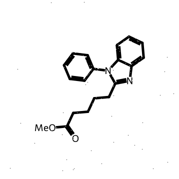 COC(=O)CCCCc1nc2ccccc2n1-c1ccccc1